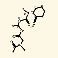 CC(=O)N(C)CC(=O)OC(C)OC(=O)N(C)[C@@H]1CCCCC1=O